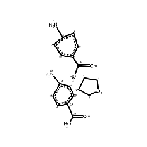 C1CCOC1.Nc1ccc(C(=O)O)cc1.Nc1ccc(C(=O)O)cc1